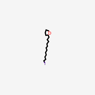 ICCCCCCCCCCCCC1CCCCO1